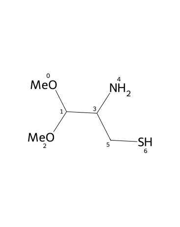 COC(OC)C(N)CS